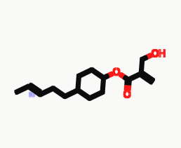 C=C(CO)C(=O)OC1CCC(CC/C=C/C)CC1